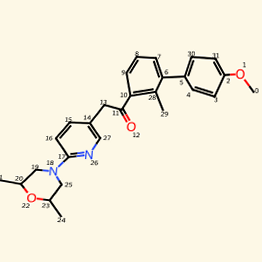 COc1ccc(-c2cccc(C(=O)Cc3ccc(N4CC(C)OC(C)C4)nc3)c2C)cc1